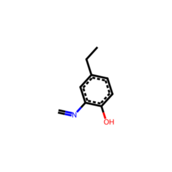 C=Nc1cc(CC)ccc1O